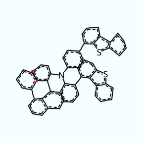 c1ccc(-c2cccc3cccc(-c4ccccc4N(c4ccc(-c5cccc6c5sc5ccccc56)cc4)c4ccccc4-c4cccc5sc6ccccc6c45)c23)cc1